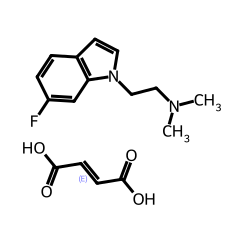 CN(C)CCn1ccc2ccc(F)cc21.O=C(O)/C=C/C(=O)O